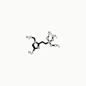 CCn1cc(C)nc1CC[Si](OC)(OC)OC